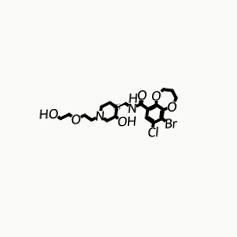 O=C(NC[C@@H]1CCN(CCOCCO)CC1O)c1cc(Cl)c(Br)c2c1OCCCO2